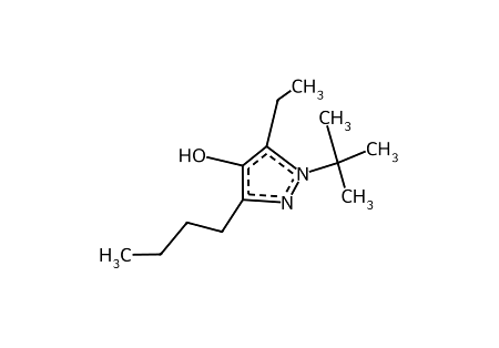 CCCCc1nn(C(C)(C)C)c(CC)c1O